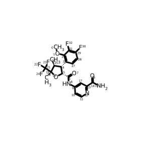 COc1c([C@@H]2[C@H](C(=O)Nc3ccnc(C(N)=O)c3)O[C@](C)(C(F)(F)F)[C@H]2C)ccc(F)c1F